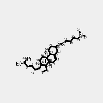 CC[C@H](CC[C@@H](C)[C@H]1CCC2[C@@H]3CC=C4CC(SSCCCCN(C)C)CC[C@]4(C)[C@H]3CC[C@@]21C)C(C)C